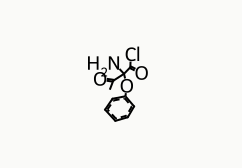 CC(=O)C(N)(Oc1ccccc1)C(=O)Cl